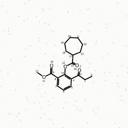 CCC(=O)c1cccc(C(=O)OC)c1OC(=O)C1CCCCCC1